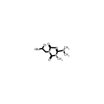 CCCCC(CC)Cn1c(=O)nc(N(C)C)n(C)c1=O